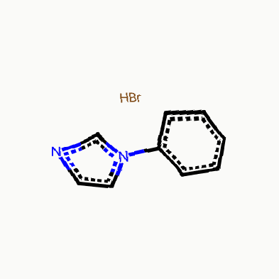 Br.c1ccc(-n2ccnc2)cc1